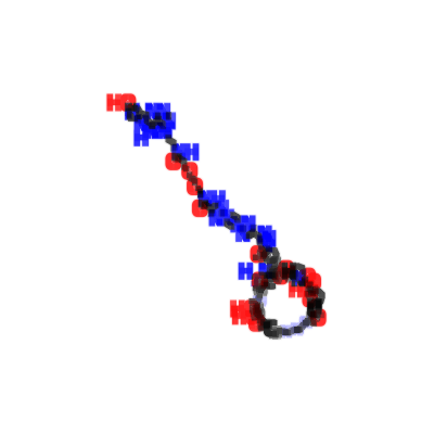 CO[C@H]1C[C@@H]2CCC[C@@](O)(O2)C(=O)C(=O)N2CCCC[C@H]2C(=O)O[C@H]([C@H](N)C[C@@H]2CCC(n3cc(-c4cnc(N5CCN(c6ncc(C(=O)NCCOCCOCCC(=O)NCCCCNc7ncnc(N)c7C(=N)c7cc8cc(O)ccc8[nH]7)cn6)CC5)nc4)nn3)[C@H](OC)C2)CC(=O)[C@H](C)/C=C(\C)[C@@H](O)[C@@H](O)C(=O)[C@H](C)C[C@H](C)/C=C/C=C/C=C/1C